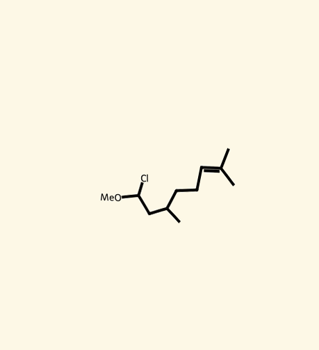 COC(Cl)CC(C)CCC=C(C)C